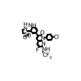 N=C1C=CC(c2cc3cc(F)c(NCC(F)(F)F)nc3n(-c3ccc(Cl)cc3)c2=O)=C/C1=C1/NCCS1(=O)=O